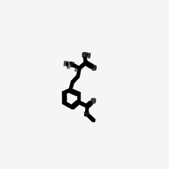 COC(=O)c1cccc(CC[C@@H](N)C(=O)O)c1